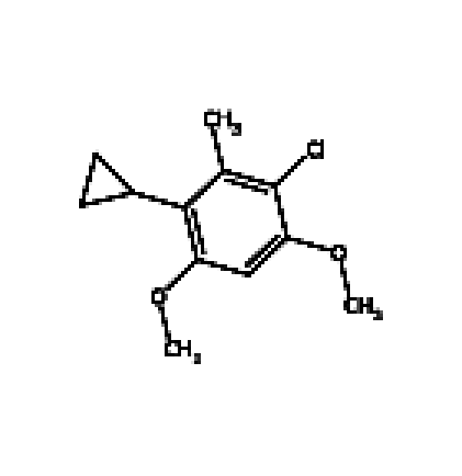 COc1cc(OC)c(C2CC2)c(C)c1Cl